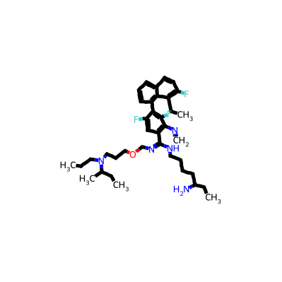 C=Nc1c(/C(=N\COCCCN(CCC)C(C)CC)NCCCCC(N)CC)cc(F)c(-c2cccc3ccc(F)c(CC)c23)c1F